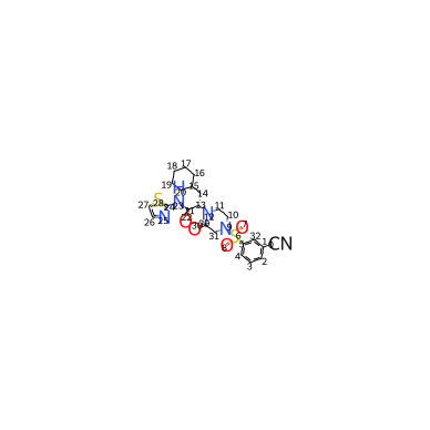 N#Cc1cccc(S(=O)(=O)N2CCN([C@@H](CC3CCCCC3)C(=O)Nc3nccs3)C(=O)C2)c1